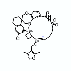 Cc1noc(C)c1CO[C@@H]1/C=C/CCCS(=O)(=O)NC(=O)c2ccc3c(c2)N(C[C@@H]2CCC21)CC1(CCCc2cc(Cl)ccc21)CO3